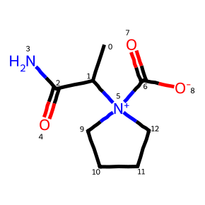 CC(C(N)=O)[N+]1(C(=O)[O-])CCCC1